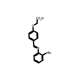 CCCCc1ccccc1/N=C/c1ccc(OCC(=O)O)cc1